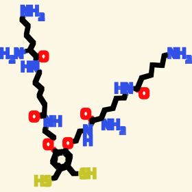 NCCCCCC(=O)NCCCC[C@H](N)C(=O)NCCOc1cc(CS)c(CS)cc1OCCNC(=O)CCCCCNC(=O)[C@@H](N)CCCCN